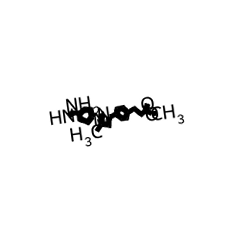 COC(=O)CCc1ccc(-c2cc(C)n(-c3ccc(C(=N)N)cc3)n2)cc1